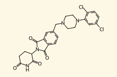 O=C1CCC(N2C(=O)c3ccc(CN4CCN(c5cc(Cl)ccc5Cl)CC4)cc3C2=O)C(=O)N1